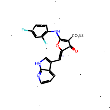 CCOC(=O)C1=C(Nc2ccc(F)cc2F)O/C(=C\c2c[nH]c3ncccc23)C1=O